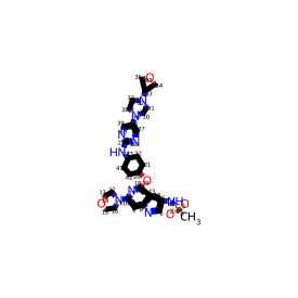 CS(=O)(=O)Nc1cnc2cc(N3CCOCC3)nc(OC3CCC(Nc4ncc(N5CCN(C6COC6)CC5)cn4)CC3)c2c1